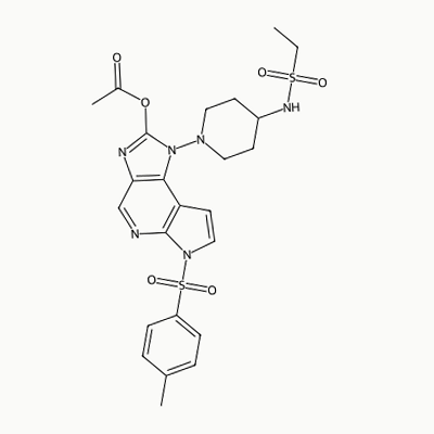 CCS(=O)(=O)NC1CCN(n2c(OC(C)=O)nc3cnc4c(ccn4S(=O)(=O)c4ccc(C)cc4)c32)CC1